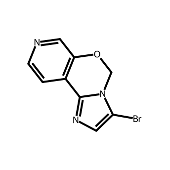 Brc1cnc2n1COc1cnccc1-2